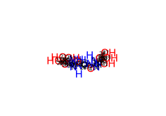 Nc1c(C(=O)NC2CCC(NC(=O)c3ncn([C@@H]4O[C@H](CO)[C@@H](O)[C@H]4O)c3N)CC2)ncn1[C@@H]1O[C@H](CO)[C@@H](O)[C@H]1O